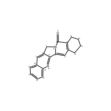 O=c1c2c(cc3n1Cc1cc4ccccc4nc1-3)CCCC2